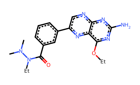 CCOc1nc(N)nc2ncc(-c3cccc(C(=O)N(CC)N(C)C)c3)nc12